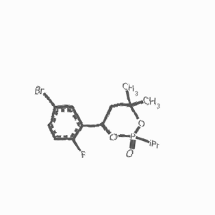 CC(C)P1(=O)OC(c2cc(Br)ccc2F)CC(C)(C)O1